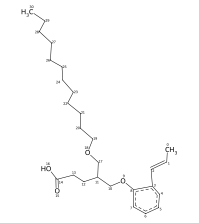 CC=Cc1ccccc1OCC(CCC(=O)O)COCCCCCCCCCCCC